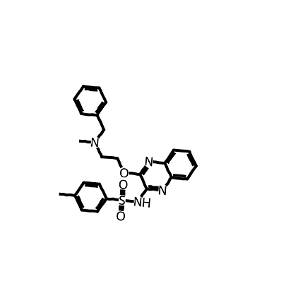 Cc1ccc(S(=O)(=O)Nc2nc3ccccc3nc2OCCN(C)Cc2ccccc2)cc1